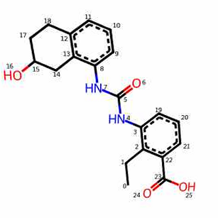 CCc1c(NC(=O)Nc2cccc3c2CC(O)CC3)cccc1C(=O)O